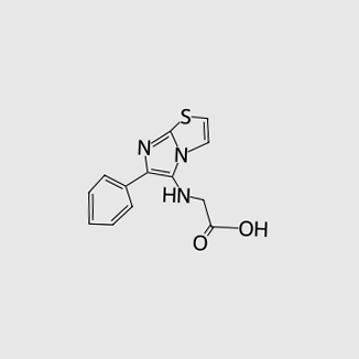 O=C(O)CNc1c(-c2ccccc2)nc2sccn12